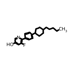 CCCCCC1CCC(c2ccc(-c3ncc(O)cc3F)cc2)CC1